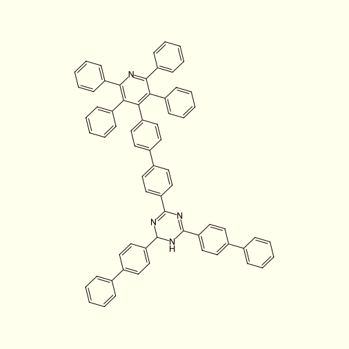 c1ccc(-c2ccc(C3=NC(c4ccc(-c5ccc(-c6c(-c7ccccc7)c(-c7ccccc7)nc(-c7ccccc7)c6-c6ccccc6)cc5)cc4)=NC(c4ccc(-c5ccccc5)cc4)N3)cc2)cc1